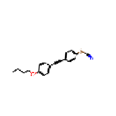 CCCCOc1ccc(C#Cc2ccc(SC#N)cc2)cc1